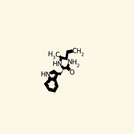 C=CCC(C)N[C@@H](Cc1c[nH]c2ccccc12)C(N)=O